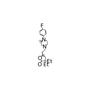 CCC1(CC)C[C@H](CCN2CCN(c3ccc(F)cc3)[C@@H](C)C2)OC1=O